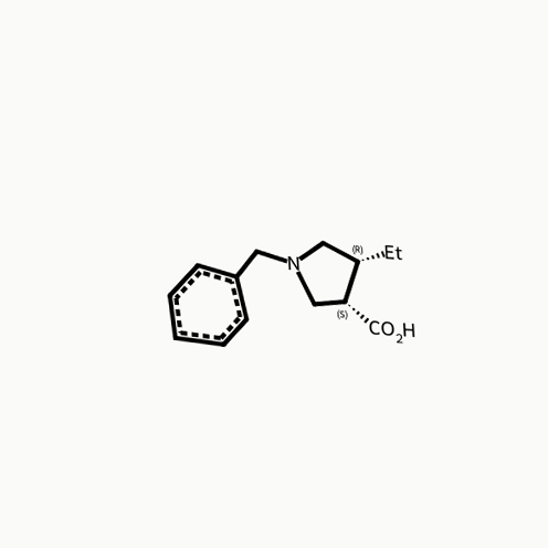 CC[C@H]1CN(Cc2ccccc2)C[C@H]1C(=O)O